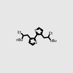 CCCCC(CC)Cc1ccsc1-c1sccc1CC(CC)CCCC